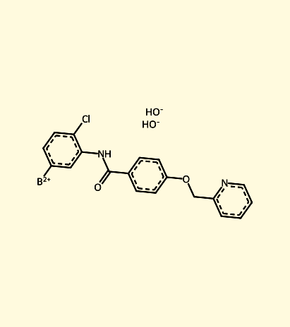 [B+2]c1ccc(Cl)c(NC(=O)c2ccc(OCc3ccccn3)cc2)c1.[OH-].[OH-]